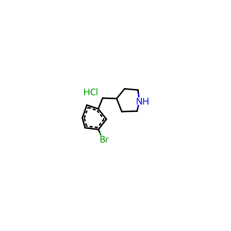 Brc1cccc(CC2CCNCC2)c1.Cl